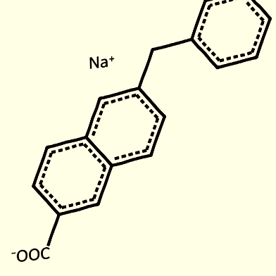 O=C([O-])c1ccc2cc(Cc3cccnc3)ccc2c1.[Na+]